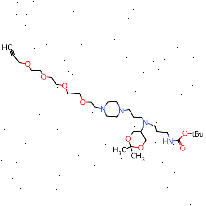 C#CCOCCOCCOCCOCCN1CCN(CCCN(CCCNC(=O)OC(C)(C)C)C2COC(C)(C)OC2)CC1